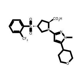 Cn1nc(N2C[C@H](S(=O)(=O)c3ccccc3C(F)(F)F)C[C@H]2C(=O)O)cc1C1CCOCC1